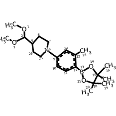 COC(OC)C1CCN(c2ccc(B3OC(C)(C)C(C)(C)O3)c(C)c2)CC1